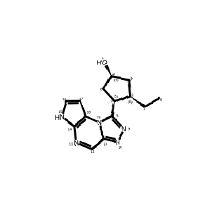 CC[C@@H]1C[C@H](O)C[C@@H]1c1nnc2cnc3[nH]ccc3n12